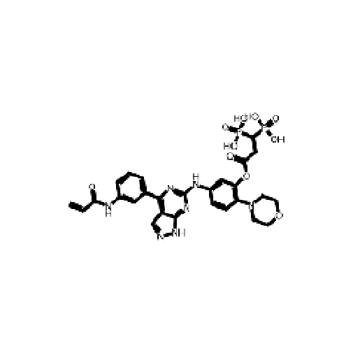 C=CC(=O)Nc1cccc(-c2nc(Nc3ccc(N4CCOCC4)c(OC(=O)CC(P(=O)(O)O)P(=O)(O)O)c3)nc3[nH]ncc23)c1